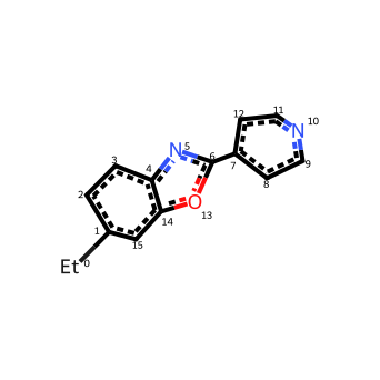 CCc1ccc2nc(-c3ccncc3)oc2c1